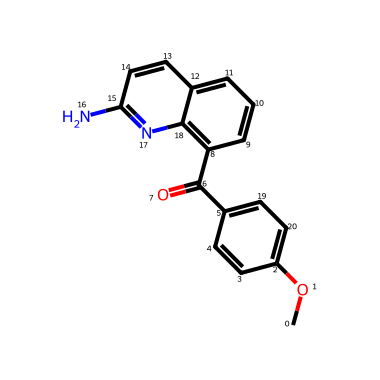 COc1ccc(C(=O)c2cccc3ccc(N)nc23)cc1